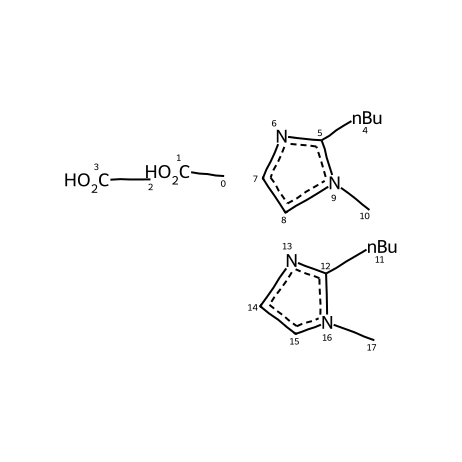 CC(=O)O.CC(=O)O.CCCCc1nccn1C.CCCCc1nccn1C